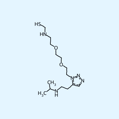 CC(C)NCCc1cnnn1CCOCCOCCNCS